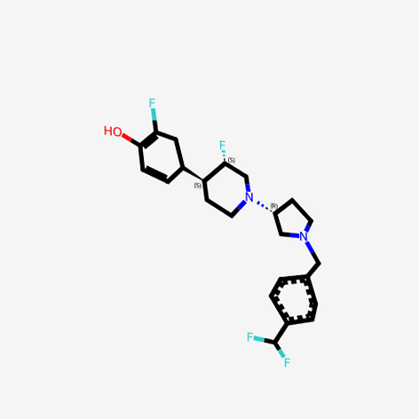 OC1=C(F)CC([C@@H]2CCN([C@@H]3CCN(Cc4ccc(C(F)F)cc4)C3)C[C@H]2F)C=C1